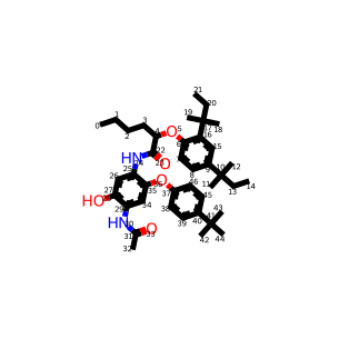 CCCCC(Oc1ccc(C(C)(C)CC)cc1C(C)(C)CC)C(=O)Nc1cc(O)c(NC(C)=O)cc1Oc1ccc(C(C)(C)C)cc1